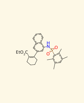 CCOC(=O)C1=C(c2cc(NS(=O)(=O)c3c(C)c(C)cc(C)c3C)c3ccccc3c2)CCCC1